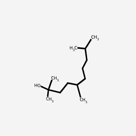 CC(C)CCCC(C)CCC(C)(C)O